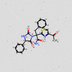 CC(=O)c1csc(C(Cc2ccccc2)(C(N)=O)N2C(=O)NC(c3ccccc3)C2=O)n1